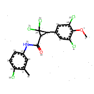 COc1c(Cl)cc(C2C(C(=O)Nc3ccc(Cl)c(C)c3)C2(Cl)Cl)cc1Cl